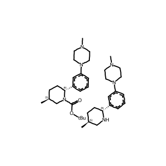 C[C@H]1CC[C@H](c2cccc(N3CCN(C)CC3)c2)N(C(=O)OC(C)(C)C)C1.C[C@H]1CC[C@H](c2cccc(N3CCN(C)CC3)c2)NC1